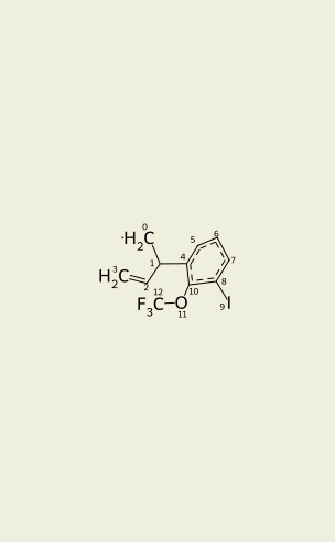 [CH2]C(C=C)c1cccc(I)c1OC(F)(F)F